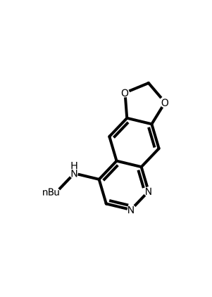 CCCCNc1cnnc2cc3c(cc12)OCO3